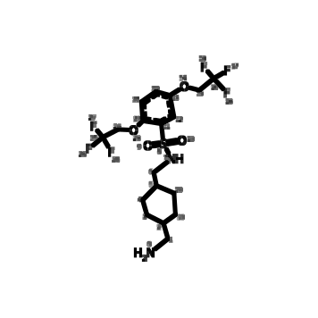 NCC1CCC(CNS(=O)(=O)c2cc(OCC(F)(F)F)ccc2OCC(F)(F)F)CC1